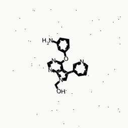 Nc1cccc(Oc2ncnc3c2c(-c2cccnc2)cn3CO)c1